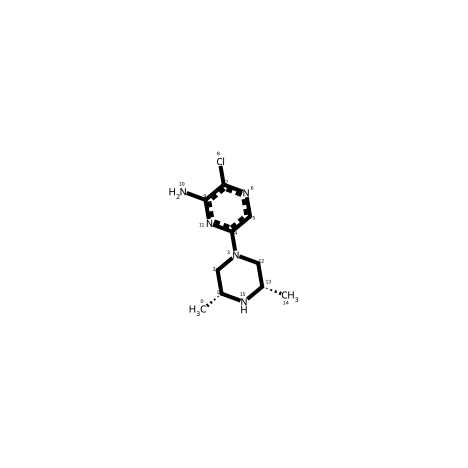 C[C@@H]1CN(c2cnc(Cl)c(N)n2)C[C@H](C)N1